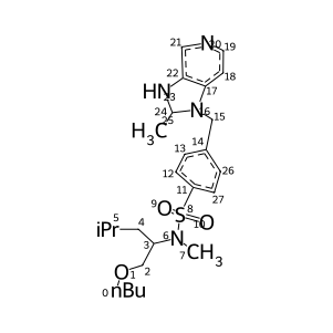 CCCCOCC(CC(C)C)N(C)S(=O)(=O)c1ccc(CN2c3ccncc3NC2C)cc1